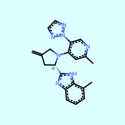 C=C1C[C@@H](c2nc3cccc(C)c3[nH]2)N(c2cc(C)n[c]c2-n2nccn2)C1